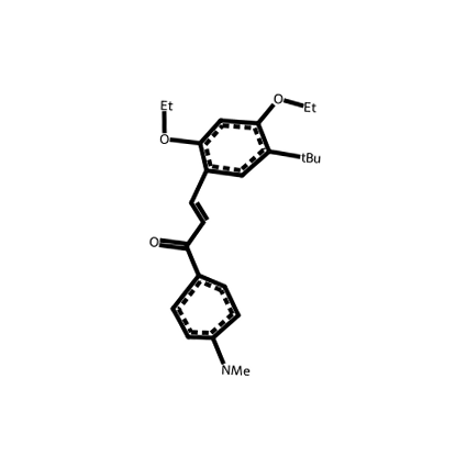 CCOc1cc(OCC)c(C(C)(C)C)cc1C=CC(=O)c1ccc(NC)cc1